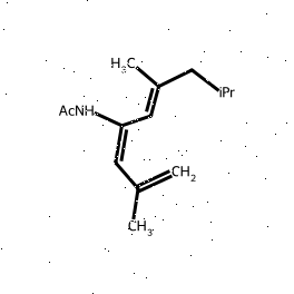 C=C(C)/C=C(\C=C(/C)CC(C)C)NC(C)=O